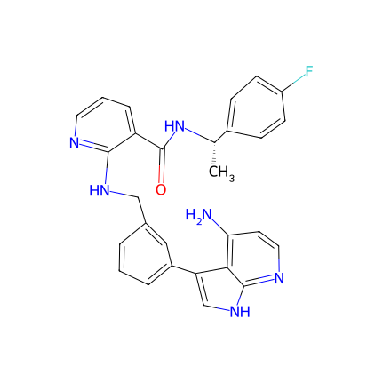 C[C@H](NC(=O)c1cccnc1NCc1cccc(-c2c[nH]c3nccc(N)c23)c1)c1ccc(F)cc1